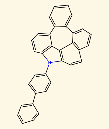 c1ccc(-c2ccc(-n3c4cccc5c4c4c6c(cccc6ccc43)-c3ccccc3-5)cc2)cc1